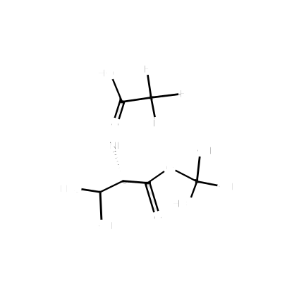 CC(C)[C@H](N)C(=O)OC(C)(C)C.O=C(O)C(F)(F)F